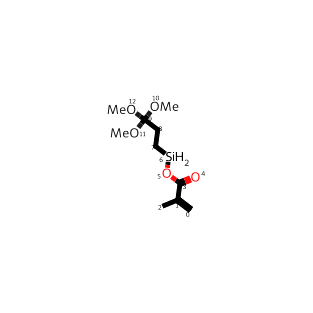 C=C(C)C(=O)O[SiH2]CCC(OC)(OC)OC